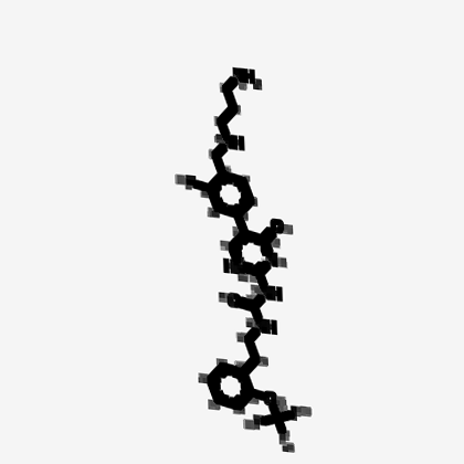 NCCCNCc1ccc(-c2c[nH]c(NC(=O)NCCc3ccccc3OC(F)(F)F)nc2=O)cc1F